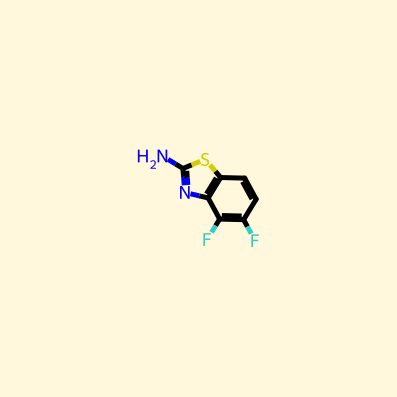 Nc1nc2c(F)c(F)ccc2s1